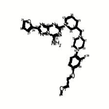 COCCOc1ccc(N2CCN(CC3CCCN(c4nc(N)n5nc(-c6ccco6)nc5n4)C3)CC2)c(F)c1